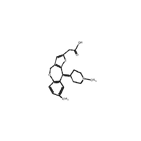 Cc1ccc2c(c1)C(=C1CCN(C)CC1)c1sc(CC(=O)O)cc1CO2